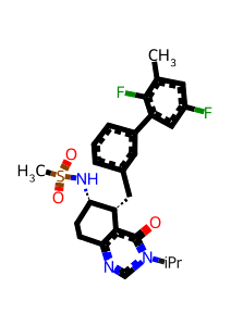 Cc1cc(F)cc(-c2cccc(C[C@@H]3c4c(ncn(C(C)C)c4=O)CC[C@@H]3NS(C)(=O)=O)c2)c1F